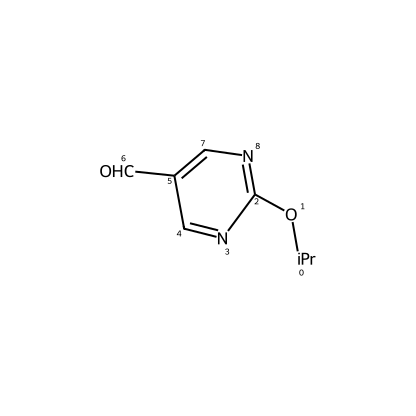 CC(C)Oc1ncc(C=O)cn1